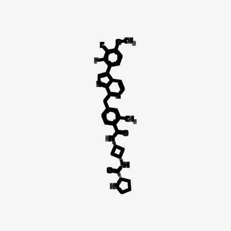 COc1ccc(C2=CN=C3C(Cc4ccc(C(=O)N[C@H]5C[C@@H](NC(=O)[C@@H]6CCCN6)C5)c(C)c4)=NC=CC23)c(F)c1F